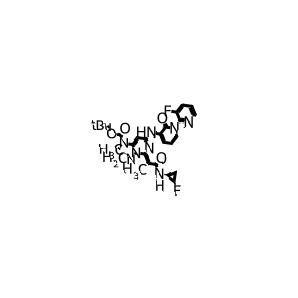 C=NN1C(N(C)C(=O)OC(C)(C)C)=CC(Nc2cccn(-c3ncccc3F)c2=O)=N/C1=C(/C)C(=O)N[C@@H]1C[C@@H]1F